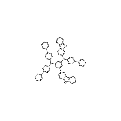 c1ccc(-c2ccc(N(c3ccc(-c4ccccc4)cc3)c3cc(-c4ccc5oc6ccccc6c5c4)cc(N(c4ccc(-c5ccccc5)cc4)c4ccc5c(c4)oc4ccccc45)c3)cc2)cc1